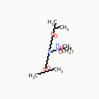 CCCCCC(CCCCC)OC(=O)CCCCCCCN(CCCCCCCC(=O)OCCC(CCC)CCC)CCCNC(=O)OC(C)(C)C